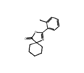 Cc1ccccc1C1=NC2(CCCCC2)C(=O)O1